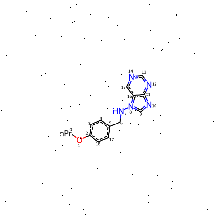 CCCOc1ccc(CNn2cnc3ncncc32)cc1